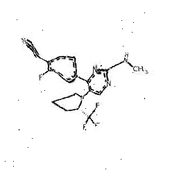 CNc1ncc(N2CCC[C@H]2C(F)(F)F)c(-c2ccc(C#N)c(F)c2)n1